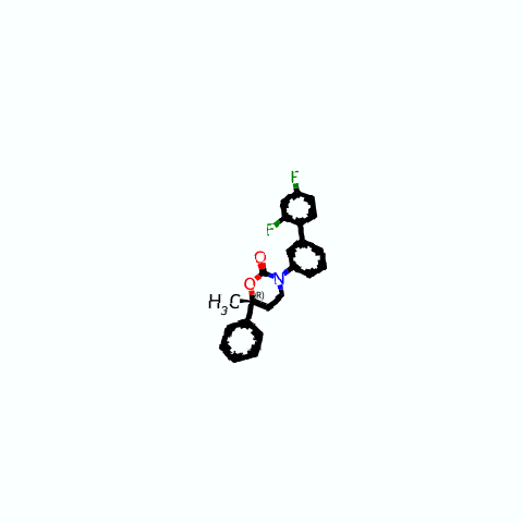 C[C@]1(c2ccccc2)CCN(c2cccc(-c3ccc(F)cc3F)c2)C(=O)O1